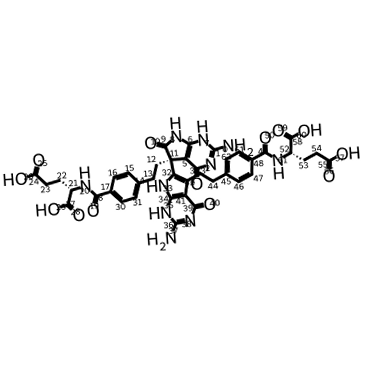 Nc1nc(=O)c2c([nH]1)NC(=O)[C@]2(CCc1ccc(C(=O)N[C@@H](CCC(=O)O)C(=O)O)cc1)c1[nH]c2[nH]c(N)nc(=O)c2c1CCc1ccc(C(=O)N[C@@H](CCC(=O)O)C(=O)O)cc1